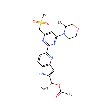 CCC1COCCN1c1cc(CS(=O)(=O)C(C)C)nc(-c2ccc3[nH]c([C@@H](NC)OC(=O)C(F)(F)F)cc3n2)n1